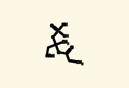 C=CC(=O)OC(C)(CCCCCCCCC)OP(=O)(O)O